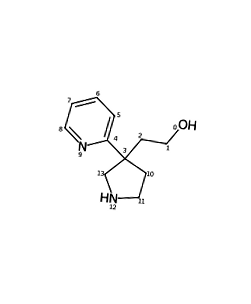 OCCC1(c2ccccn2)CCNC1